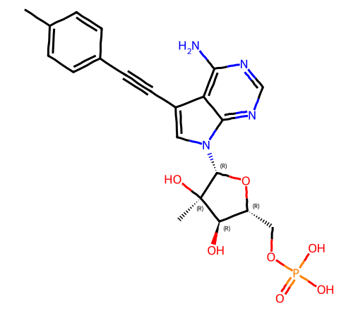 Cc1ccc(C#Cc2cn([C@@H]3O[C@H](COP(=O)(O)O)[C@@H](O)[C@@]3(C)O)c3ncnc(N)c23)cc1